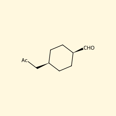 CC(=O)C[C@H]1CC[C@@H](C=O)CC1